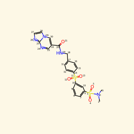 CN(C)S(=O)(=O)c1cccc(S(=O)(=O)c2ccc(CNC(=O)c3cnc4nccn4c3)cc2)c1